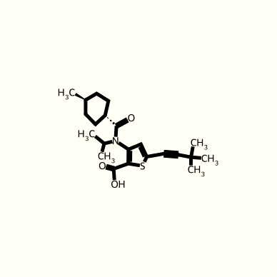 CC(C)N(c1cc(C#CC(C)(C)C)sc1C(=O)O)C(=O)[C@H]1CC[C@H](C)CC1